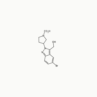 O=C(O)N1CCC(n2nc3ccc(Br)cc3c2CO)C1